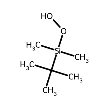 CC(C)(C)[Si](C)(C)OO